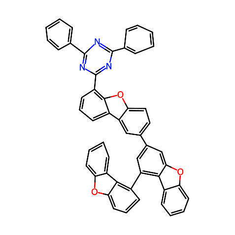 c1ccc(-c2nc(-c3ccccc3)nc(-c3cccc4c3oc3ccc(-c5cc(-c6cccc7oc8ccccc8c67)c6c(c5)oc5ccccc56)cc34)n2)cc1